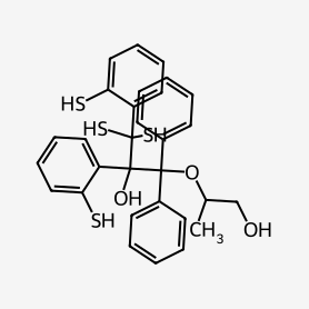 CC(CO)OC(c1ccccc1)(c1ccccc1)C(O)(c1ccccc1S)C(S)(S)c1ccccc1S